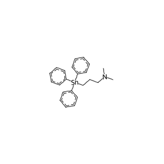 CN(C)CC[CH2][Sn]([c]1ccccc1)([c]1ccccc1)[c]1ccccc1